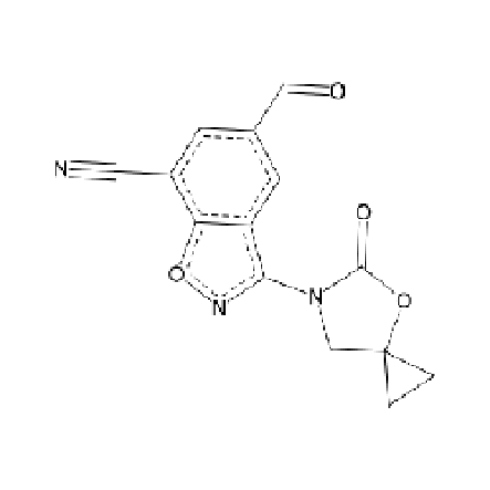 N#Cc1cc(C=O)cc2c(N3CC4(CC4)OC3=O)noc12